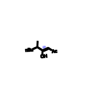 CCCCC(C)/C(O)=C/C(C)=O